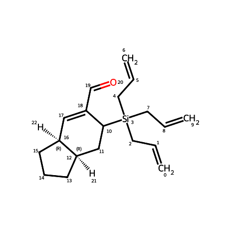 C=CC[Si](CC=C)(CC=C)C1C[C@H]2CCC[C@H]2C=C1C=O